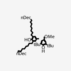 CCCCCCCCCCCCCCCCCCc1cc(C)cc(CCCCCCCCCCCCCCCCCC)c1O.COCc1cc(C(C)(C)C)c(O)c(C(C)(C)C)c1